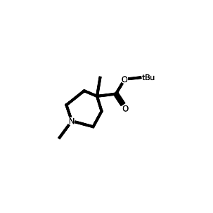 CN1CCC(C)(C(=O)OC(C)(C)C)CC1